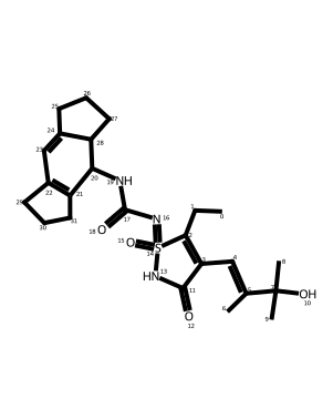 CCC1=C(/C=C(\C)C(C)(C)O)C(=O)NS1(=O)=NC(=O)NC1C2=C(C=C3CCCC31)CCC2